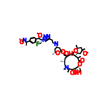 CC[C@H]1OC(=O)[C@H](C)[C@@H](C2C[C@@](C)(OC)C[C@H](C)O2)[C@H](C)C[C@@](O)(CO[C@H]2C[C@@H](N(C)CCc3cn([C@H](CF)[C@H](OC)c4ccc(/C(C)=N/OC)cc4)nn3)C[C@@H](C)O2)C[C@@H](C)CN(C)[C@H](C)[C@@H](O)[C@]1(C)O